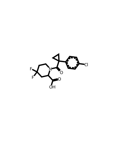 O=C(O)C1CC(F)(F)CCN1C(=O)C1(c2ccc(Cl)cc2)CC1